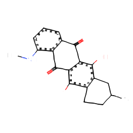 CC(=O)C1CCc2c(O)c3c(c(O)c2C1)C(=O)c1cccc(NC=O)c1C3=O